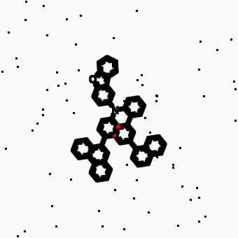 c1cc(-c2ccccc2N(c2ccc(-c3cc4ccccc4c4ccccc34)cc2)c2ccc3oc4ccccc4c3c2)cc(-c2cccc3ccccc23)c1